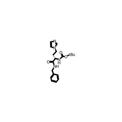 CC(C)(C)OC(=O)N[C@@H](CCn1ccnc1)C(=O)NCc1ccccc1